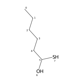 CCCCCC(O)S